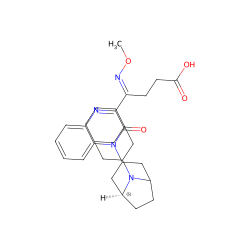 CON=C(CCC(=O)O)c1nc2ccccc2n(C2CC3CC[C@@H](C2)N3C2CC3CCCC(C3)C2)c1=O